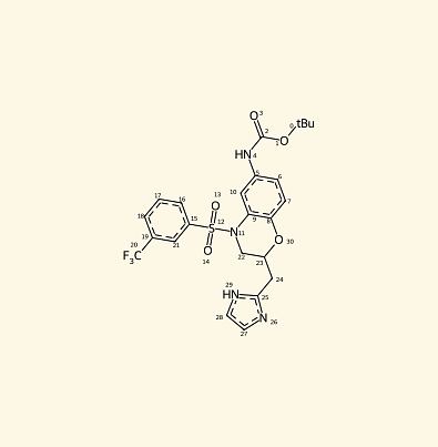 CC(C)(C)OC(=O)Nc1ccc2c(c1)N(S(=O)(=O)c1cccc(C(F)(F)F)c1)CC(Cc1ncc[nH]1)O2